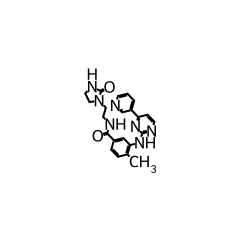 Cc1ccc(C(=O)NCCN2CCNC2=O)cc1Nc1nccc(-c2cccnc2)n1